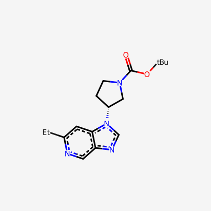 CCc1cc2c(cn1)ncn2[C@@H]1CCN(C(=O)OC(C)(C)C)C1